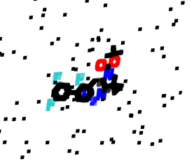 CC(C)(C)OC(=O)N1CC2(CC2)[C@H](N)[C@@H]1Cc1cccc(-c2cc(F)cc(F)c2)c1F